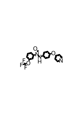 O=CN(Nc1ccc(Oc2ccncc2)cc1)c1cccc(OC(F)(F)F)c1